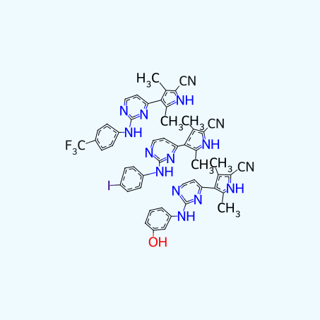 Cc1[nH]c(C#N)c(C)c1-c1ccnc(Nc2ccc(C(F)(F)F)cc2)n1.Cc1[nH]c(C#N)c(C)c1-c1ccnc(Nc2ccc(I)cc2)n1.Cc1[nH]c(C#N)c(C)c1-c1ccnc(Nc2cccc(O)c2)n1